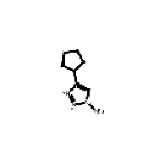 CCCCn1cc(C2CCCC2)nn1